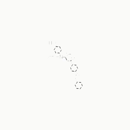 CCCc1cc(O)ccc1N/C(=C/C(=O)c1ccc(OCc2ccccc2)cc1)SC